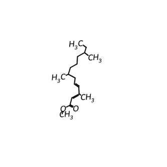 CCC(C)CCCC(C)CC=CC(C)=CC(=O)OC